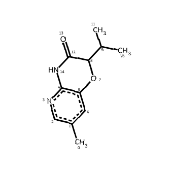 Cc1cnc2c(c1)OC(C(C)C)C(=O)N2